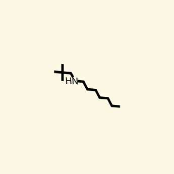 CCCCCCCNCC(C)(C)C